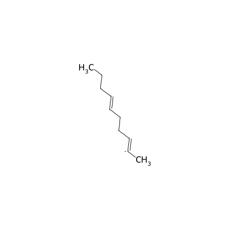 C[C]=CCCC=CCCC